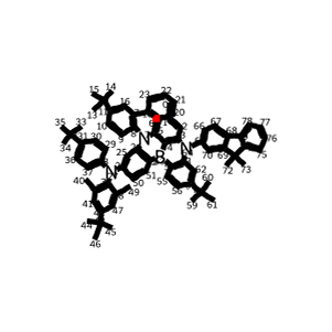 Cc1cc2c3c(c1)N(c1ccc(C(C)(C)C)cc1-c1ccccc1)c1cc(N(c4ccc(C(C)(C)C)cc4)c4c(C)cc(C(C)(C)C)cc4C)ccc1B3c1ccc(C(C)(C)C)cc1N2c1ccc2c(c1)C(C)(C)c1ccccc1-2